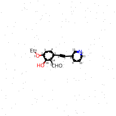 CCOc1ccc(C#Cc2cccnc2)c(C=O)c1O